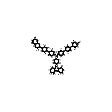 Cc1ccc(-c2ccc(-c3ccc(N(c4ccc(-c5ccc(-c6ccc7ccccc7c6)cc5)cc4)c4ccc(-n5c6ccccc6c6ccccc65)cc4)cc3)cc2)cc1